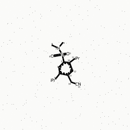 CC(C)c1cc(S(=O)(=O)N(C)C)c(C(C)C)cc1CC#N